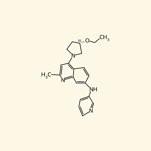 CCO[C@H]1CCN(c2cc(C)nc3cc(Nc4cccnc4)ccc23)C1